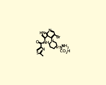 Cc1nc(C(=O)Nc2c[nH]c3ncc(Br)c(N4CCC[C@@H](N(N)C(=O)O)C4)c23)cs1